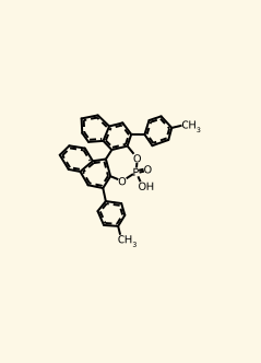 Cc1ccc(-c2cc3ccccc3c3c2OP(=O)(O)Oc2c(-c4ccc(C)cc4)cc4ccccc4c2-3)cc1